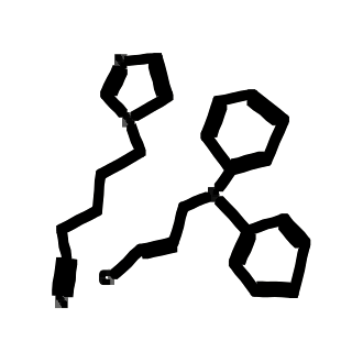 ClC=CCB(c1ccccc1)c1ccccc1.N#CCCCCn1ccnc1